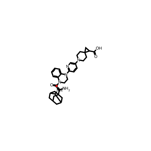 NC(=O)C12CC3CC(C1)C(NC(=O)N1CCN(c4ccc(N5CCC6(CC5)CC6C(=O)O)cn4)c4ccccc41)C(C3)C2